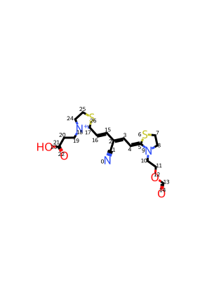 N#CC(=C\C=C1/SCCN1CCOC=O)/C=C/C1=[N+](CCC(=O)O)CCS1